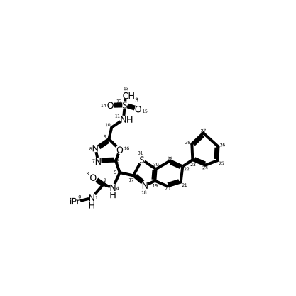 CC(C)NC(=O)NC(c1nnc(CNS(C)(=O)=O)o1)c1nc2ccc(-c3ccccc3)cc2s1